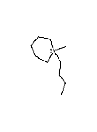 CCC[CH2][Sn]1([CH3])[CH2]CCC[CH2]1